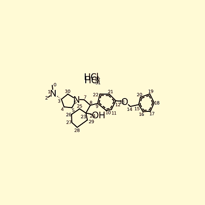 CN(C)[C@H]1CCN(CC(c2ccc(OCc3ccccc3)cc2)C2(O)CCCCC2)C1.Cl.Cl